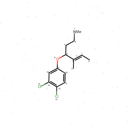 C/C=C(\C)C(CCNC)Oc1ccc(Cl)c(Cl)c1